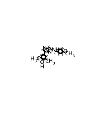 COc1ccc(CNc2nn3c(-c4cc(C)c(O)c(C)c4)cnc3s2)cc1